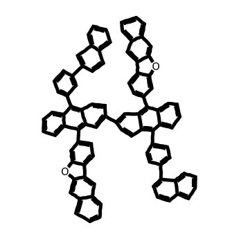 c1cc(-c2ccc3ccccc3c2)cc(-c2c3ccccc3c(-c3ccc4c(c3)oc3cc5ccccc5cc34)c3cc(-c4ccc5c(-c6ccc(-c7cccc8ccccc78)cc6)c6ccccc6c(-c6ccc7c(c6)oc6cc8ccccc8cc67)c5c4)ccc23)c1